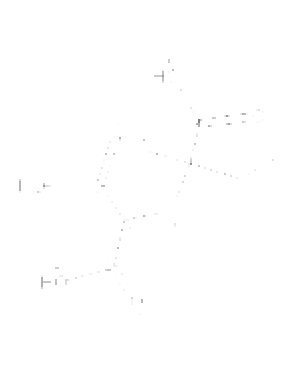 CCC(C)(OC(C(=O)O)C(=O)O)C(=O)O